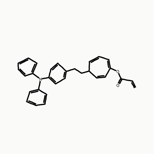 C=CC(=O)OC1=CC=CC(CCc2ccc(N(c3ccccc3)c3ccccc3)cc2)C=C1